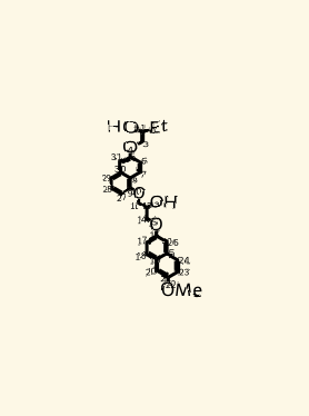 CCC(O)COc1ccc2c(OCC(O)COc3ccc4cc(OC)ccc4c3)cccc2c1